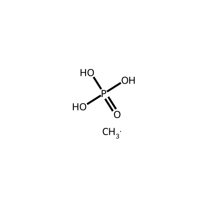 O=P(O)(O)O.[CH3]